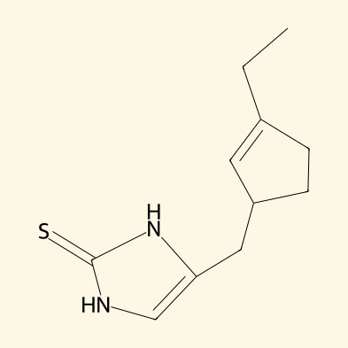 CCC1=CC(Cc2c[nH]c(=S)[nH]2)CC1